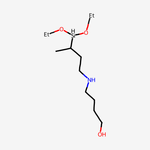 CCO[SiH](OCC)C(C)CCNCCCCO